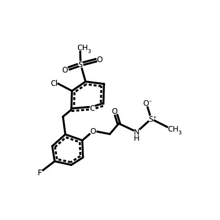 C[S+]([O-])NC(=O)COc1ccc(F)cc1Cc1cccc(S(C)(=O)=O)c1Cl